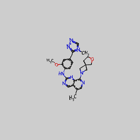 COc1cc(-c2nncn2C)ccc1Nc1ncc2c(C)cnc(N3CC4(CCOC4)C3)c2n1